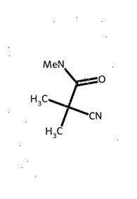 CNC(=O)C(C)(C)C#N